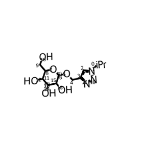 CC(C)n1cc(CO[C@@H]2OC(CO)C(O)[C@H](O)C2O)nn1